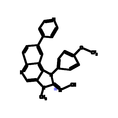 Cn1/c(=N/C#N)n(-c2ccc(OC(F)(F)F)cc2)c2c3cc(-c4ccncc4)ccc3ncc21